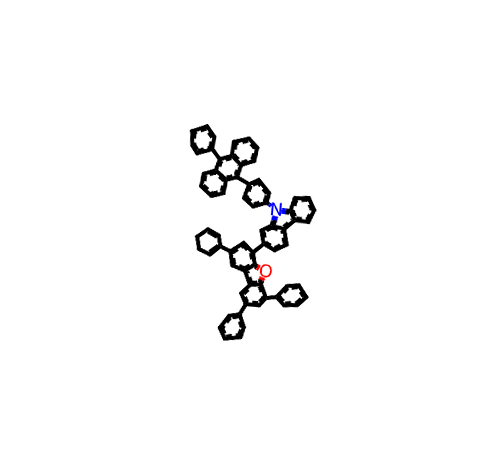 C1=CC(c2cc(-c3ccc4c5ccccc5n(-c5ccc(-c6c7ccccc7c(-c7ccccc7)c7ccccc67)cc5)c4c3)c3oc4c(-c5ccccc5)cc(-c5ccccc5)cc4c3c2)=CCC1